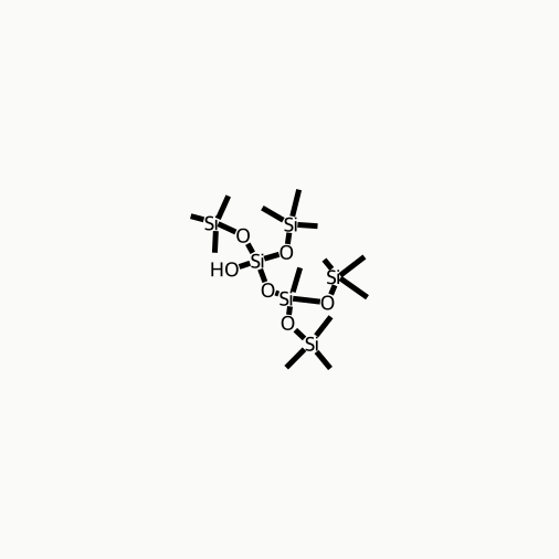 C[Si](C)(C)O[Si](C)(O[Si](C)(C)C)O[Si](O)(O[Si](C)(C)C)O[Si](C)(C)C